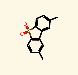 Cc1ccc2c(c1)-c1cc(C)ccc1S2(=O)=O